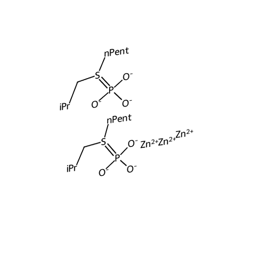 CCCCCS(CC(C)C)=P([O-])([O-])[O-].CCCCCS(CC(C)C)=P([O-])([O-])[O-].[Zn+2].[Zn+2].[Zn+2]